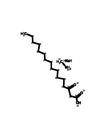 CCCCCCCCCCCCCC(=O)CC(=O)O.CN.[NaH]